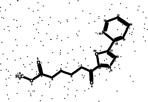 COC(=O)CCCCC(=O)c1ncc(-c2ccccn2)o1